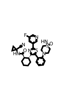 N#CC1(NC(=O)[C@@H]2CCCC[C@H]2c2nc(-c3cncc(F)c3)sc2-c2ccccc2N2CCS(=N)(=O)CC2)CC1